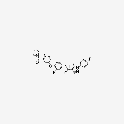 Cc1c(C(=O)Nc2ccc(Oc3ccnc(C(=O)N4CCCC4)c3)c(F)c2)nnn1-c1ccc(F)cc1